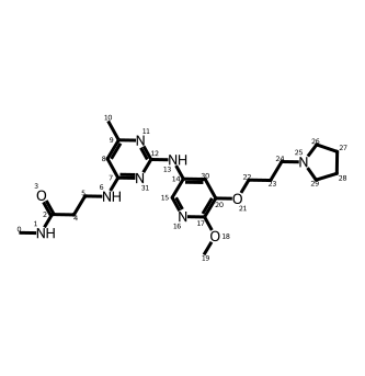 CNC(=O)CCNc1cc(C)nc(Nc2cnc(OC)c(OCCCN3CCCC3)c2)n1